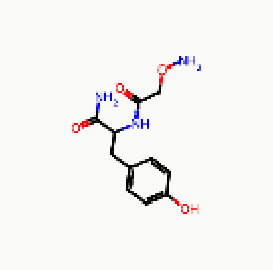 NOCC(=O)NC(Cc1ccc(O)cc1)C(N)=O